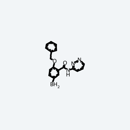 Bc1ccc(OCc2ccccc2)c(C(=O)Nc2cccnn2)c1